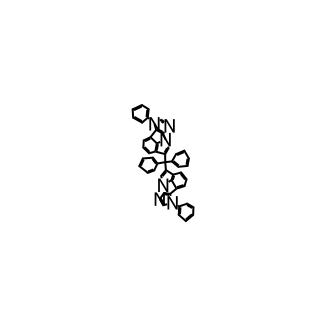 c1ccc(-n2cnc3c2c2cccc4c(C(c5ccccc5)(c5ccccc5)c5cn6c7ncn(-c8ccccc8)c7c7cccc5c76)cn3c42)cc1